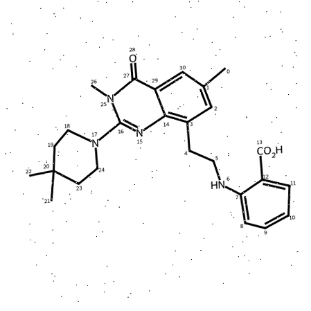 Cc1cc(CCNc2ccccc2C(=O)O)c2nc(N3CCC(C)(C)CC3)n(C)c(=O)c2c1